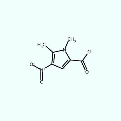 Cc1c([N+](=O)[O-])cc(C(=O)Cl)n1C